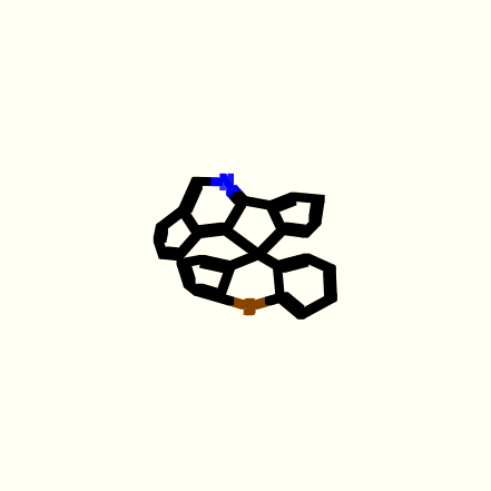 c1ccc2c(c1)Sc1ccccc1C21c2ccccc2-c2ncc3ccccc3c21